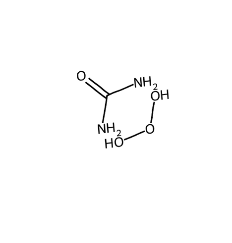 NC(N)=O.OOO